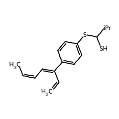 C=C/C(=C\C=C/C)c1ccc(SC(S)C(C)C)cc1